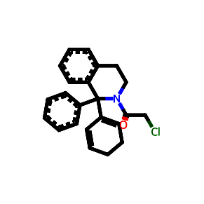 O=C(CCl)N1CCc2ccccc2C1(C1=CCCC=C1)c1ccccc1